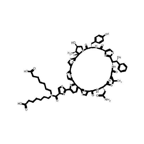 Cc1sc2nc1C(=O)N[C@@H]([C@H](O)c1ccccc1)c1nc(cs1)C(=O)N[C@@H](Cc1ccc(O)cc1)C(=O)N1C[C@H](O)[C@H](C)[C@H]1c1nc(cs1)-c1nc(cs1)-c1nc(-c3nc(C(=O)N(CCCCCCC(=O)O)CCCCCCC(=O)O)cs3)ccc1-c1nc(cs1)C(=O)N[C@H]2CC(N)=O